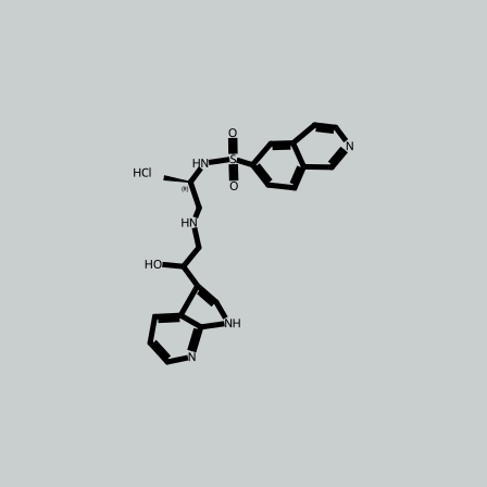 C[C@H](CNCC(O)c1c[nH]c2ncccc12)NS(=O)(=O)c1ccc2cnccc2c1.Cl